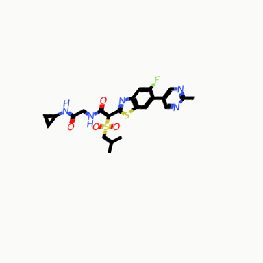 Cc1ncc(-c2cc3sc(C(C(=O)NCC(=O)NC4CC4)S(=O)(=O)CC(C)C)nc3cc2F)cn1